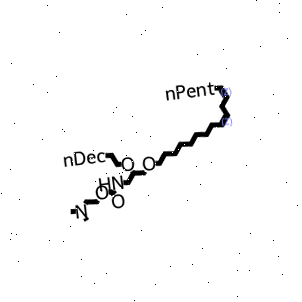 CCCCC/C=C\C/C=C\CCCCCCCCOCC(CNC(=O)OCCN(C)C)OCCCCCCCCCCCC